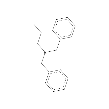 CCCB(Cc1ccccc1)Cc1ccccc1